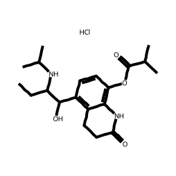 CCC(NC(C)C)C(O)c1ccc(OC(=O)C(C)C)c2c1CCC(=O)N2.Cl